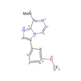 CNc1nccn2c(-c3cccc(OC(F)(F)F)c3)cnc12